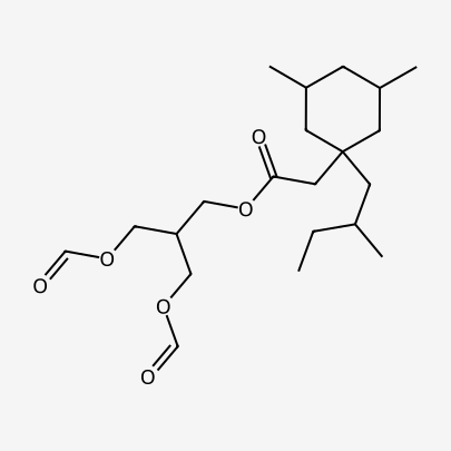 CCC(C)CC1(CC(=O)OCC(COC=O)COC=O)CC(C)CC(C)C1